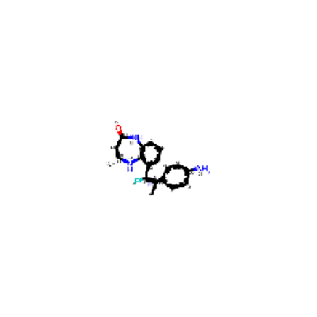 C/C(=C(\F)c1cccc2c1N[C@H](C)CC(=O)N2)c1ccc(N)cc1